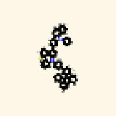 c1ccc(-n2c3cc(-c4ccc(N(c5ccc(-c6cccc7c6-c6ccccc6C76c7ccccc7-c7ccccc76)cc5)c5cccc6sc7ccccc7c56)cc4)ccc3c3ccc4ccccc4c32)cc1